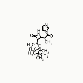 C[C@@H](O[Si](C)(C)C(C)(C)C)[C@H]1C(=O)N[C@H]1[C@@H](C)C(=O)n1ccnc1